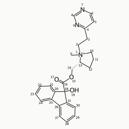 C[N+]1(CCc2ccncn2)CCC[C@@H]1COC(=O)C1(O)c2ccccc2-c2ccccc21